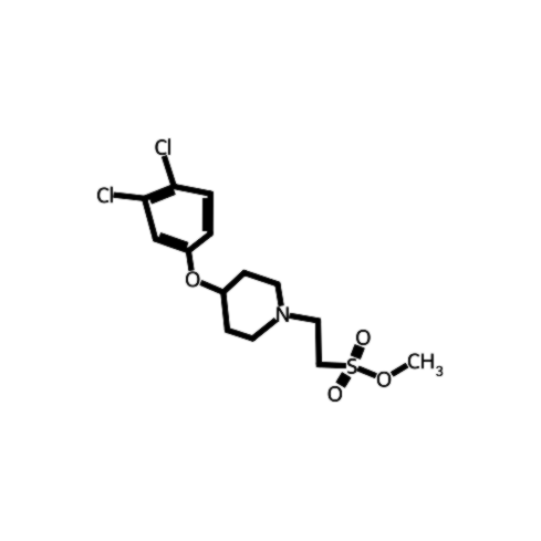 COS(=O)(=O)CCN1CCC(Oc2ccc(Cl)c(Cl)c2)CC1